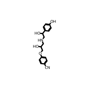 N#Cc1ccc(OCC(O)CNCC(O)c2ccc(O)cc2)cc1